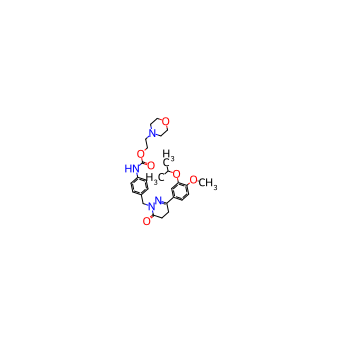 COc1ccc(C2=NN(Cc3ccc(NC(=O)OCCN4CCOCC4)cc3)C(=O)CC2)cc1OC(C)C